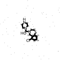 OC(N1CCNCC1)N1CCSc2cccc(Cl)c2C1